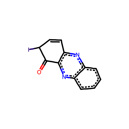 O=C1c2nc3ccccc3nc2C=CC1I